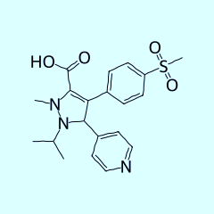 CC(C)N1C(c2ccncc2)C(c2ccc(S(C)(=O)=O)cc2)=C(C(=O)O)N1C